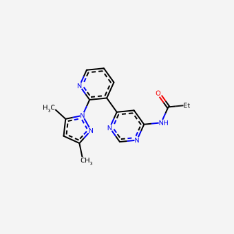 CCC(=O)Nc1cc(-c2cccnc2-n2nc(C)cc2C)ncn1